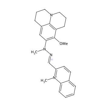 COc1c(N(C)/N=C/c2ccc3ccccc3[n+]2C)cc2c3c1CCCN3CCC2